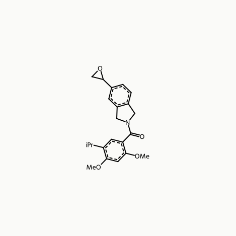 COc1cc(OC)c(C(C)C)cc1C(=O)N1Cc2ccc(C3CO3)cc2C1